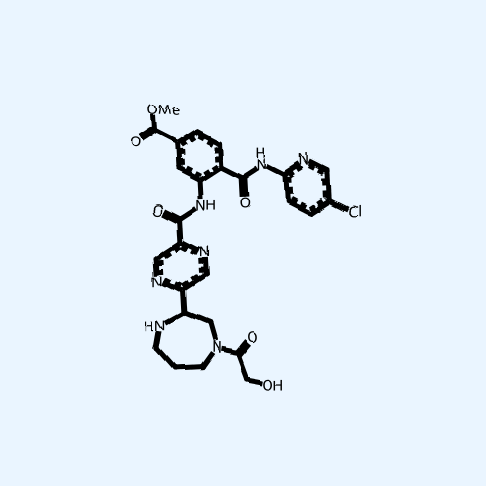 COC(=O)c1ccc(C(=O)Nc2ccc(Cl)cn2)c(NC(=O)c2cnc(C3CN(C(=O)CO)CCCN3)cn2)c1